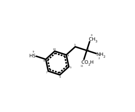 CC(N)(Cc1cccc(S)c1)C(=O)O